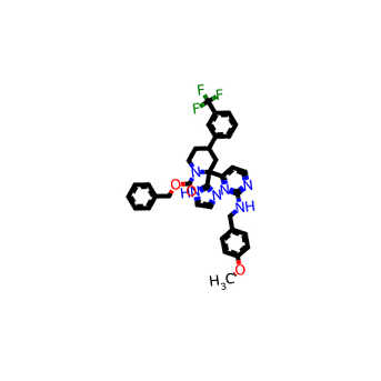 COc1ccc(CNc2nccc(C3(c4ncc[nH]4)CC(c4cccc(C(F)(F)F)c4)CCN3C(=O)OCc3ccccc3)n2)cc1